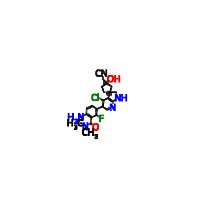 CN(C)C(=O)c1c(N)ccc(-c2cnc3c(c2Cl)[C@]2(CC[C@@](O)(CC#N)C2)CN3)c1F